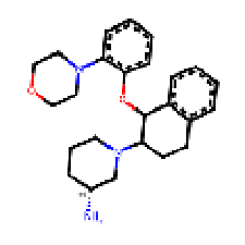 N[C@@H]1CCCN(C2CCc3ccccc3C2Oc2ccccc2N2CCOCC2)C1